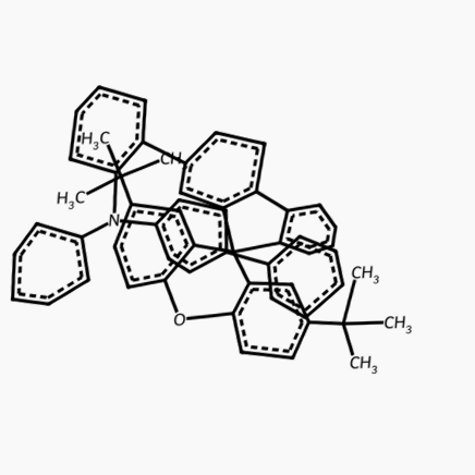 CC(C)(C)c1ccc2c(c1)C1(c3cc(C(C)(C)C)ccc3O2)c2ccccc2-c2ccc(-c3ccccc3N(c3ccccc3)c3ccc(-c4ccccc4)cc3)cc21